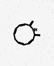 C=C1/C=C\C=C/C/C=C\C=C/C(=C)N1